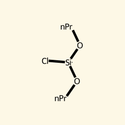 CCCO[Si](Cl)OCCC